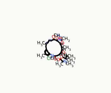 C=C1N[C@]2(O)C[C@H](O1)[C@@H](C)[C@@H]1O[C@@]1(C)[C@@H](OC(=O)[C@H](C)N(C)C(C)(CC)CC)CC(=O)N(C)c1cc(cc(C)c1Cl)C/C(C)=C/C=C/[C@H]2OC